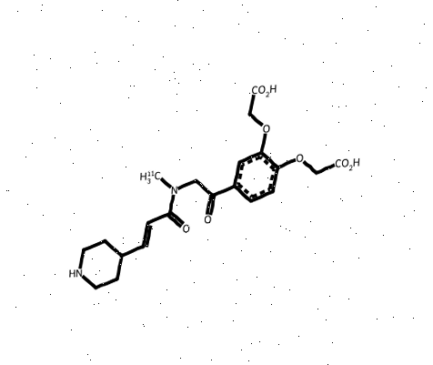 [11CH3]N(CC(=O)c1ccc(OCC(=O)O)c(OCC(=O)O)c1)C(=O)/C=C/C1CCNCC1